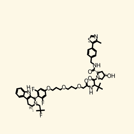 Cc1ncsc1-c1ccc(CNC(=O)[C@@H]2C[C@@H](O)CN2C(=O)C(NC(=O)COCCCOCCCOc2cc(F)c([C@@H]3c4[nH]c5ccccc5c4C[C@@H](C)N3CC(C)(C)F)c(F)c2)C(C)(C)C)cc1